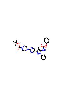 Cc1c(-c2cnc(N3CCN(C(=O)OC(C)(C)C)CC3)nc2)nn(-c2ccccc2)c1NC(=O)Oc1ccccc1